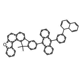 CC1(C)c2ccc(-c3c4ccccc4c(-c4cccc(C5C=CC=C6C=CC=CC65)c4)c4ccccc34)cc2-c2ccc3ccc4oc5ccccc5c4c3c21